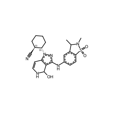 CC1c2cc(Nc3nn([C@H]4CCCC[C@@H]4C#N)c4c3C(O)NC=C4)ccc2S(=O)(=O)N1C